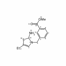 CCC1=CN(Cc2cccc(C(=O)OC)c2)C(N)S1